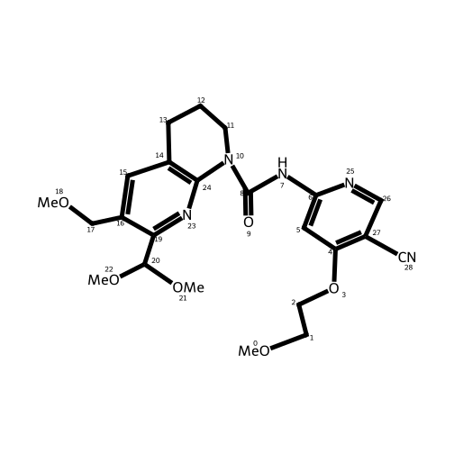 COCCOc1cc(NC(=O)N2CCCc3cc(COC)c(C(OC)OC)nc32)ncc1C#N